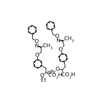 CCCOC(Cc1ccc(OCC(C)=NOCc2ccccc2)cc1)C(=O)O.CCOC(Cc1cccc(OCC(C)=NOCc2ccccc2)c1)C(=O)O